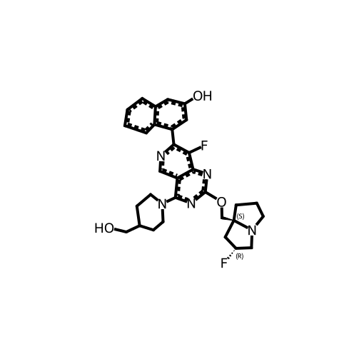 OCC1CCN(c2nc(OC[C@@]34CCCN3C[C@H](F)C4)nc3c(F)c(-c4cc(O)cc5ccccc45)ncc23)CC1